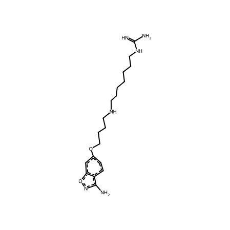 N=C(N)NCCCCCCCNCCCCOc1ccc2c(N)noc2c1